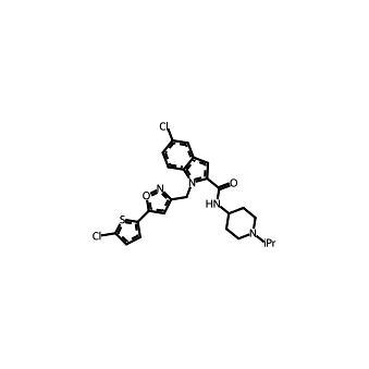 CC(C)N1CCC(NC(=O)c2cc3cc(Cl)ccc3n2Cc2cc(-c3ccc(Cl)s3)on2)CC1